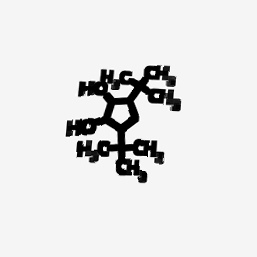 CC(C)(C)C1CC(C(C)(C)C)C(O)C1O